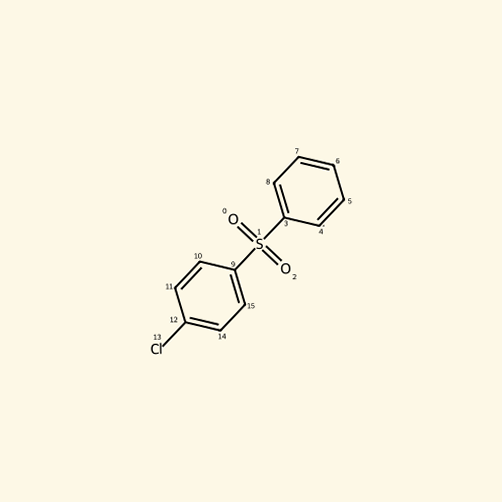 O=S(=O)(c1[c]cccc1)c1ccc(Cl)cc1